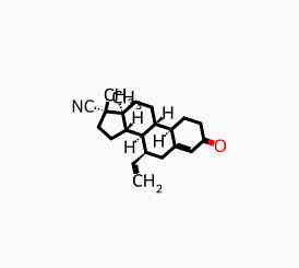 C=C[C@@H]1CC2=CC(=O)CC[C@@H]2[C@H]2CC[C@@]3(C)[C@@H](CC[C@]3(C)C#N)[C@@H]21